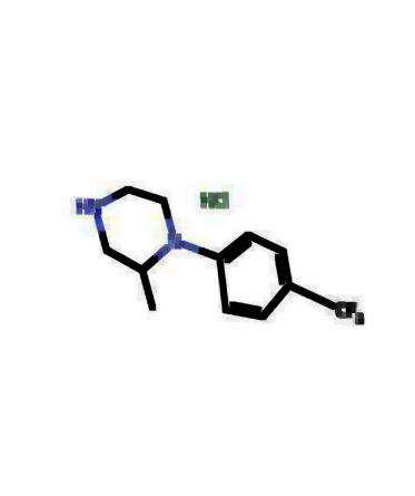 CC1CNCCN1c1ccc(C(F)(F)F)cc1.Cl